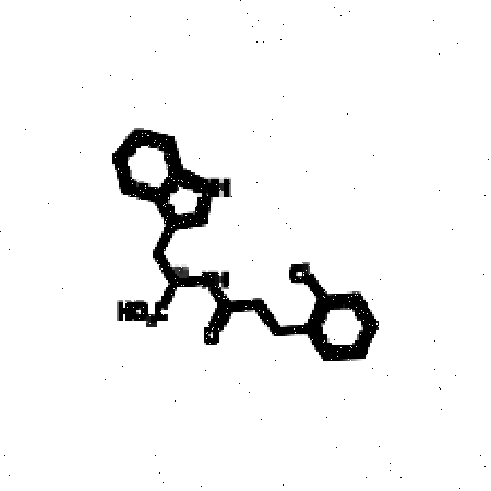 O=C(CCc1ccccc1Cl)N[C@H](Cc1c[nH]c2ccccc12)C(=O)O